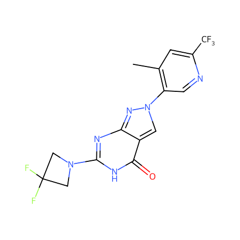 Cc1cc(C(F)(F)F)ncc1-n1cc2c(=O)[nH]c(N3CC(F)(F)C3)nc2n1